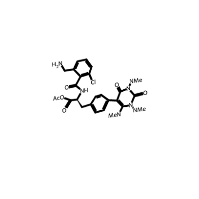 CNc1c(-c2ccc(C[C@H](NC(=O)c3c(Cl)cccc3CN)C(=O)OC(C)=O)cc2)c(=O)n(NC)c(=O)n1NC